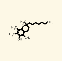 CCCCCCCC1(C)CCc2c(C)c(O)c(C)c(C)c2O1